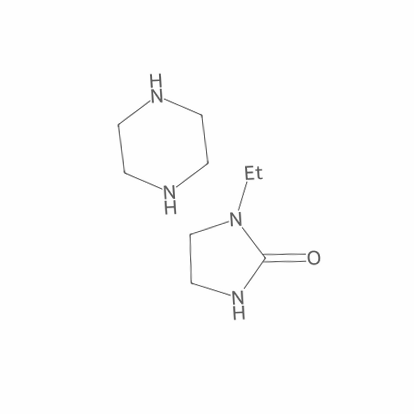 C1CNCCN1.CCN1CCNC1=O